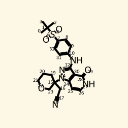 CC(C)(C)S(=O)(=O)c1ccc(Nc2nn(C3(CC#N)CCCOC3)c3cc[nH]c(=O)c23)cc1